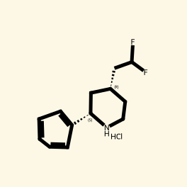 Cl.FC(F)C[C@@H]1CCN[C@H](c2ccccc2)C1